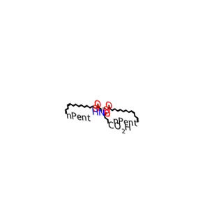 CCCCC/C=C\C/C=C\CCCCCCCCOC(=O)[C@H](COC(=O)CCCCCCC/C=C\C/C=C\CCCCC)NC(=O)CCCC(=O)O